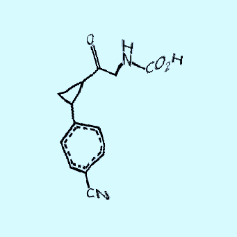 N#Cc1ccc(C2CC2C(=O)CNC(=O)O)cc1